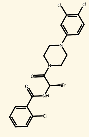 CC(C)[C@@H](NC(=O)c1ccccc1Cl)C(=O)N1CCN(c2ccc(Cl)c(Cl)c2)CC1